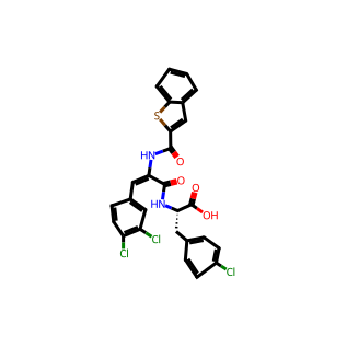 O=C(N[C@@H](Cc1ccc(Cl)cc1)C(=O)O)C(=Cc1ccc(Cl)c(Cl)c1)NC(=O)c1cc2ccccc2s1